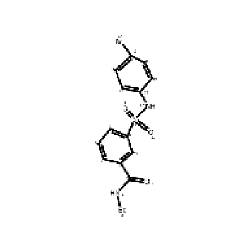 CCNC(=O)c1cccc(S(=O)(=O)Nc2ccc(Br)cc2)c1